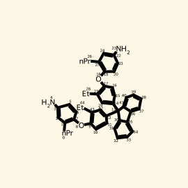 CCCc1cc(N)ccc1Oc1ccc(C2(c3ccc(Oc4ccc(N)cc4CCC)c(CC)c3)c3ccccc3-c3ccccc32)cc1CC